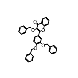 O=c1c(OCc2ccccc2)c(-c2ccc(OCc3ccccc3)c(OCc3ccccc3)c2)oc2ccccc12